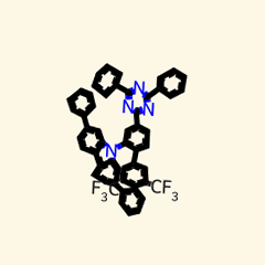 FC(F)(F)c1cc(-c2ccc(-c3nc(-c4ccccc4)nc(-c4ccccc4)n3)cc2-n2c3cc(-c4ccccc4)ccc3c3ccc(-c4ccccc4)cc32)cc(C(F)(F)F)c1